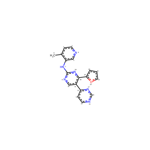 Cc1ccncc1Nc1ncc(-c2ccncn2)c(-c2ccco2)n1